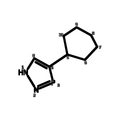 c1[nH]npc1C1CCCCC1